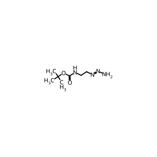 CC(C)(C)OC(=O)NCCN=NN